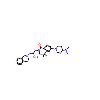 CN(C)C1CCN(c2ccc3c(c2)C(C)(C)CN(C[C@H](O)CN2CCc4ccccc4C2)C3=O)CC1